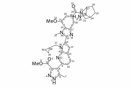 COC(=O)c1n[nH]c(C)c1-c1ccc2cc(-c3nc4cc(C(=O)N5CC6CCC5C6N)cc(OC)c4n3C)n(CC3CC3)c2n1